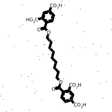 O=C(O)c1ccc(C(=O)OCCCCCCCCCOC(=O)c2ccc(C(=O)O)cc2C(=O)O)c(C(=O)O)c1